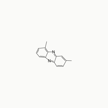 Cc1ccc2nc3cccc(C)c3nc2c1